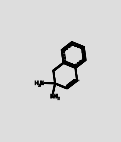 NC1(N)C=[C]c2ccccc2C1